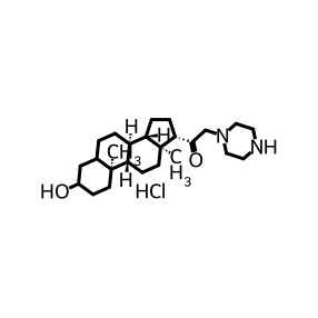 C[C@]12CC[C@H]3[C@@H](CCC4CC(O)CC[C@@]43C)[C@@H]1CC[C@@H]2C(=O)CN1CCNCC1.Cl